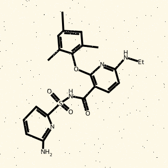 CCNc1ccc(C(=O)NS(=O)(=O)c2cccc(N)n2)c(Oc2c(C)cc(C)cc2C)n1